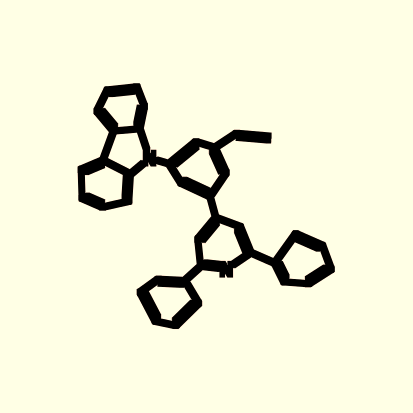 C=Cc1cc(-c2cc(-c3ccccc3)nc(-c3ccccc3)c2)cc(-n2c3ccccc3c3ccccc32)c1